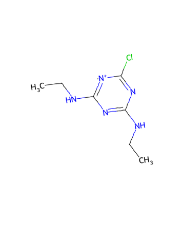 CCNC1=NC(NCC)=[N+]C(Cl)=N1